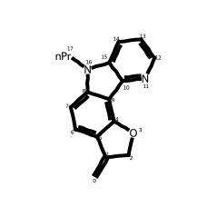 C=C1COc2c1ccc1c2c2ncccc2n1CCC